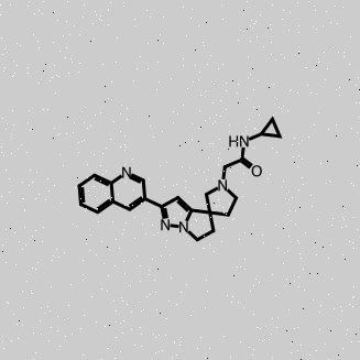 O=C(CN1CCC2(CCn3nc(-c4cnc5ccccc5c4)cc32)C1)NC1CC1